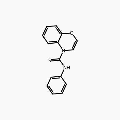 S=C(Nc1ccccc1)N1C=COc2ccccc21